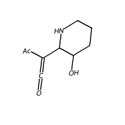 CC(=O)C(=C=O)C1NCCCC1O